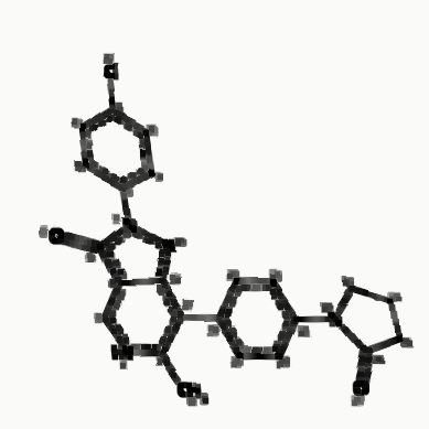 Cc1[nH]cc2c(=O)n(-c3ccc(Cl)cc3)nc-2c1-c1ccc(N2CCCC2=O)cc1